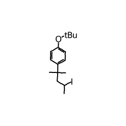 CC(I)CC(C)(C)c1ccc(OC(C)(C)C)cc1